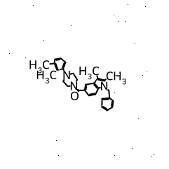 Cc1cccc(N2CCN(C(=O)c3ccc4c(c3)c(C)c(C)n4Cc3ccccc3)CC2)c1C